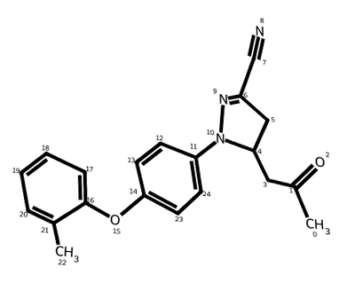 CC(=O)CC1CC(C#N)=NN1c1ccc(Oc2ccccc2C)cc1